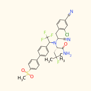 CC(C)(F)C[C@@H](C(N)=O)N(C(C#N)Cc1ccc(C#N)cc1Cl)[C@@H](c1ccc(-c2ccc(S(C)(=O)=O)cc2)cc1)C(F)(F)F